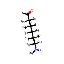 [2H]N([2H])C([2H])([2H])C([2H])([2H])C([2H])([2H])C([2H])([2H])C([2H])([2H])C(C)=O